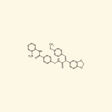 CSc1ccc(C=C(C(=O)NCc2ccc(C(=O)Nc3ccccc3N)cc2)c2ccc3c(c2)OCO3)cc1